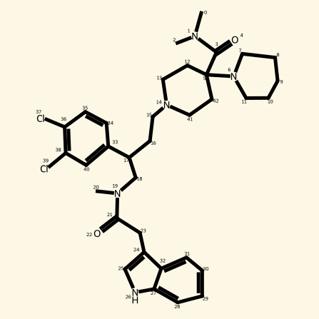 CN(C)C(=O)C1(N2CCCCC2)CCN(CCC(CN(C)C(=O)Cc2c[nH]c3ccccc23)c2ccc(Cl)c(Cl)c2)CC1